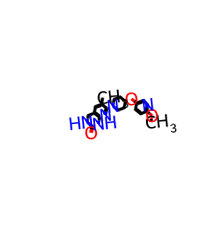 COc1ccc(OC2CCN(c3nc4c(cc3C)CNC(=O)N4)CC2)cn1